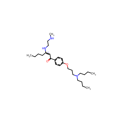 CCCC/C(=C\C(=O)c1ccc(OCCCN(CCCC)CCCC)cc1)NCCNC